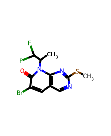 CSc1ncc2cc(Br)c(=O)n(C(C)C(F)F)c2n1